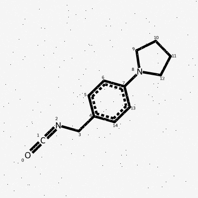 O=C=NCc1ccc(N2CCCC2)cc1